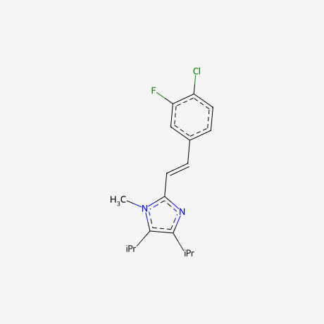 CC(C)c1nc(/C=C/c2ccc(Cl)c(F)c2)n(C)c1C(C)C